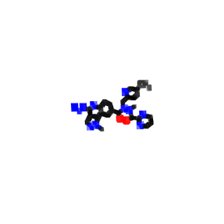 CN(C(=O)c1ncccn1)N(Cc1ccc(C(F)(F)F)cn1)C(=O)c1ccc2nc(N)c3cnn(C)c3c2c1